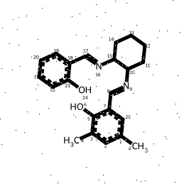 Cc1cc(C)c(O)c(/C=N/C2CCCCC2/N=C/c2ccccc2O)c1